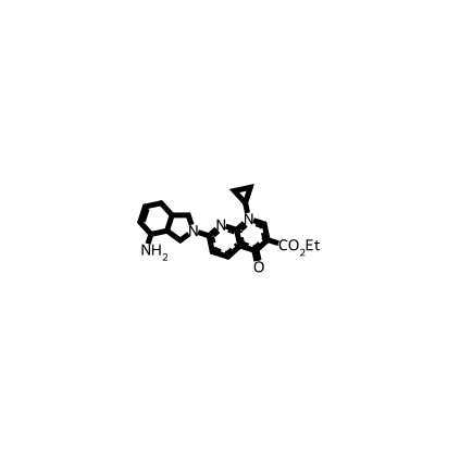 CCOC(=O)c1cn(C2CC2)c2nc(N3CC4CC=CC(N)C4C3)ccc2c1=O